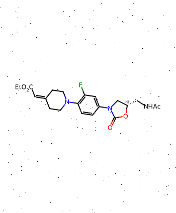 CCOC(=O)C=C1CCN(c2ccc(N3C[C@H](CNC(C)=O)OC3=O)cc2F)CC1